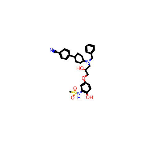 CS(=O)(=O)Nc1cc(OC[C@@H](O)CN(Cc2ccccc2)C2CCC(c3ccc(C#N)cc3)CC2)ccc1O